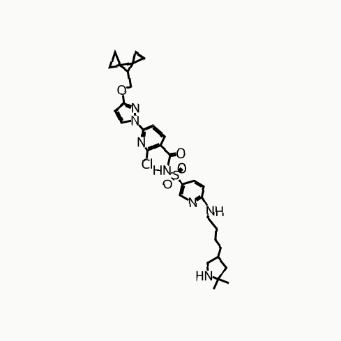 CC1(C)CC(CCCCNc2ccc(S(=O)(=O)NC(=O)c3ccc(-n4ccc(OCC5C6(CC6)C56CC6)n4)nc3Cl)cn2)CN1